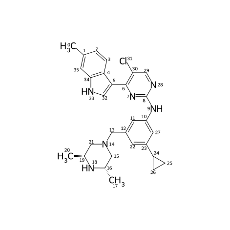 Cc1ccc2c(-c3nc(Nc4cc(CN5C[C@H](C)N[C@@H](C)C5)cc(C5CC5)c4)ncc3Cl)c[nH]c2c1